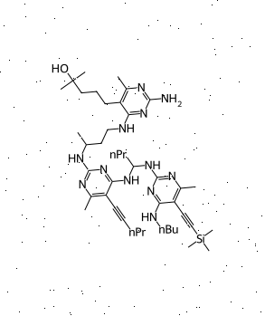 CCCC#Cc1c(C)nc(NC(C)CCNc2nc(N)nc(C)c2CCCC(C)(C)O)nc1NC(CCC)Nc1nc(C)c(C#C[Si](C)(C)C)c(NCCCC)n1